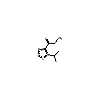 BOC(=O)c1nnnn1C(C)C